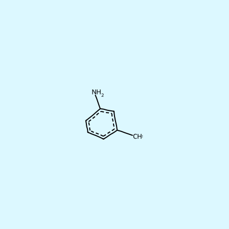 [CH]c1cccc(N)c1